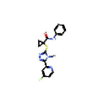 CCn1c(SC2(C(=O)Nc3ccccc3)CC2)nnc1-c1cc(F)ccn1